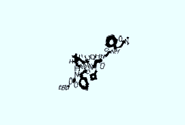 CN(C)C(=O)C[C@@H](NC(=O)CNC(=O)C(=O)[C@H](CC1CCC1)NC(=O)[C@@H]1[C@@H]2[C@H](CN1C(=O)[C@@H](NC(=O)OC(C)(C)C)C1CCCCC1)C2(C)C)c1ccccc1